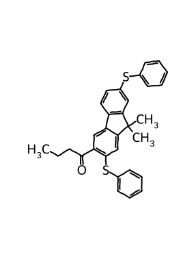 CCCC(=O)c1cc2c(cc1Sc1ccccc1)C(C)(C)c1cc(Sc3ccccc3)ccc1-2